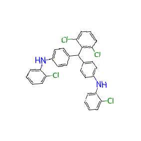 Clc1ccccc1Nc1ccc(C(c2ccc(Nc3ccccc3Cl)cc2)c2c(Cl)cccc2Cl)cc1